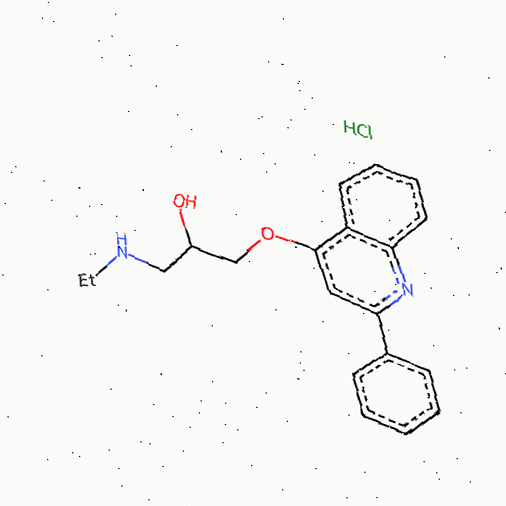 CCNCC(O)COc1cc(-c2ccccc2)nc2ccccc12.Cl